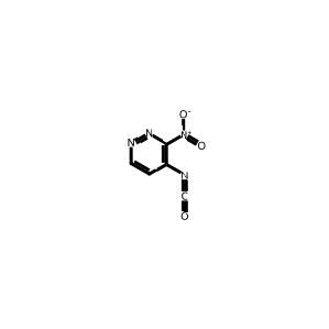 O=C=Nc1ccnnc1[N+](=O)[O-]